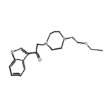 CCOCCN1CCN(CC(=O)c2csc3ccccc23)CC1